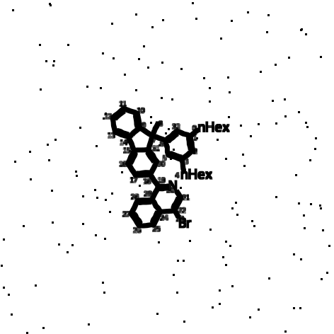 CCCCCCc1cc(CCCCCC)cc(C2(C)c3ccccc3-c3ccc(-c4ncc(Br)c5ccccc45)cc32)c1